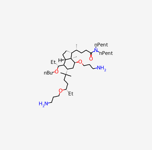 CCCCCN(CCCCC)C(=O)CC[C@@H](C)[C@H]1CC[C@H]2C([C@@H](CC)OCCCC)[C@@H](C(C)(C)CC[C@H](CC)OCCCN)C[C@H](OCCCN)[C@]12C